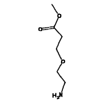 COC(=O)CCOCCN